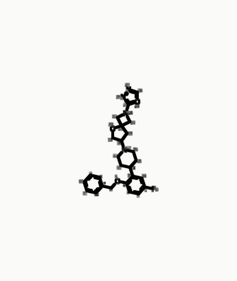 Fc1ccc(OCc2ccccc2)c(C2CCN(C3COC4(C3)CN(c3nnco3)C4)CC2)c1